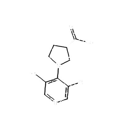 O=C(O)[C@H]1CCN(c2c(Cl)cncc2Cl)C1